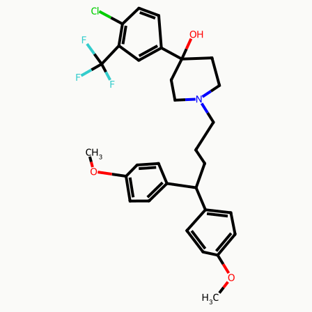 COc1ccc(C(CCCN2CCC(O)(c3ccc(Cl)c(C(F)(F)F)c3)CC2)c2ccc(OC)cc2)cc1